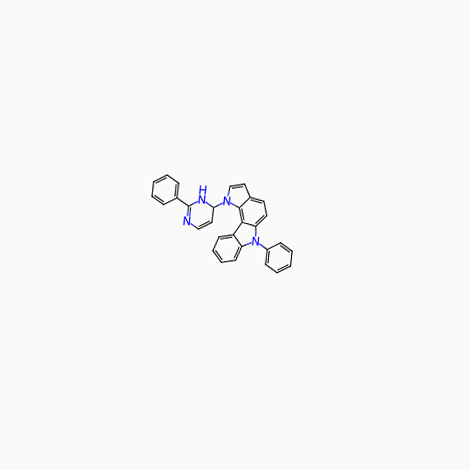 C1=CC(n2ccc3ccc4c(c5ccccc5n4-c4ccccc4)c32)NC(c2ccccc2)=N1